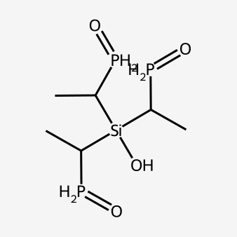 CC([PH2]=O)[Si](O)(C(C)[PH2]=O)C(C)[PH2]=O